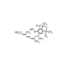 CCCOc1cc2c(cc1C(C)C\C(C)=C/C=C/C(C)=C/C(=O)O)C(C)(C)CCC2(C)C